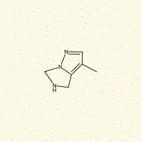 Cc1cnn2c1CNC2